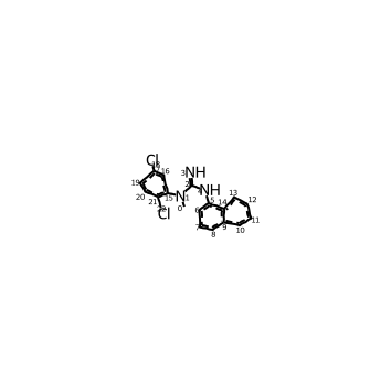 CN(C(=N)Nc1cccc2ccccc12)c1cc(Cl)ccc1Cl